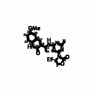 CC[C@H]1COC(=O)N1c1nc(C)nc(NC(C)c2cc3cc(OC)ccc3[nH]c2=O)n1